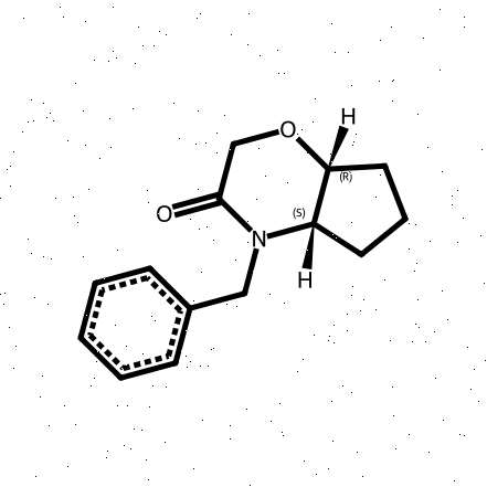 O=C1CO[C@@H]2CCC[C@@H]2N1Cc1ccccc1